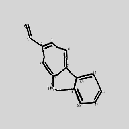 C=Cc1ccc2c(c1)[nH]c1ccccc12